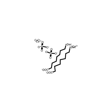 CCCCCCCCCCCCCCCCCC(=O)[O-].CCCCCCCCCCCCCCCCCC(=O)[O-].O=S(=O)([O-])[O-].O=S(=O)([O-])[O-].[Ca+2].[Ca+2].[Ca+2]